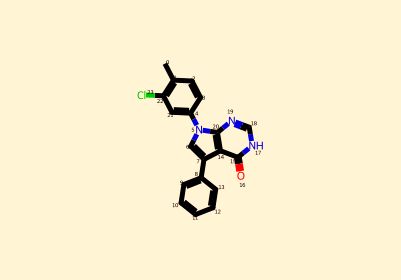 Cc1ccc(-n2cc(-c3ccccc3)c3c(=O)[nH]cnc32)cc1Cl